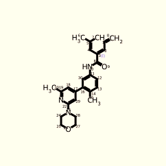 C=C/C=C(\C=C(C)C)C(=O)Nc1ccc(C)c(-c2cc(C)nc(N3CCOCC3)c2)c1